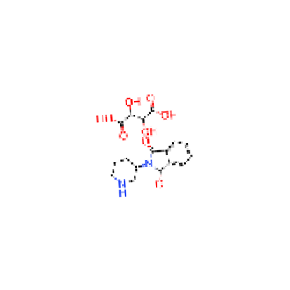 O=C(O)C(O)C(O)C(=O)O.O=C1c2ccccc2C(=O)N1[C@@H]1CCCNC1